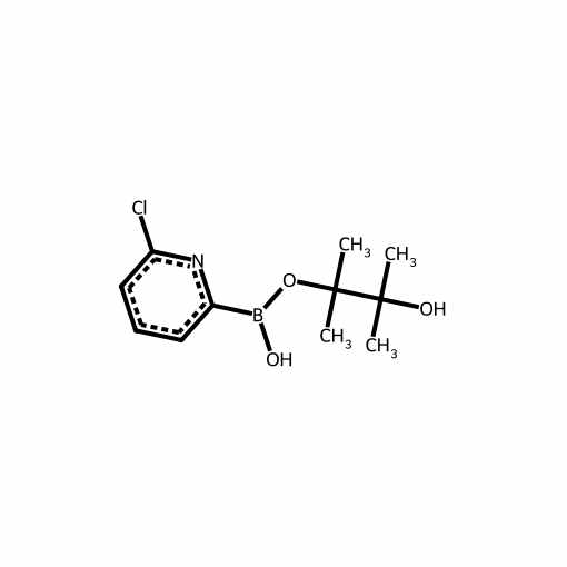 CC(C)(O)C(C)(C)OB(O)c1cccc(Cl)n1